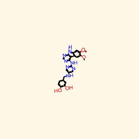 COc1cc2[nH]c3ncnc(Nc4ncc(NCc5ccc(O)c(O)c5)cn4)c3c2cc1OC